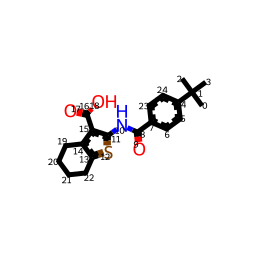 CC(C)(C)c1ccc(C(=O)Nc2sc3c(c2C(=O)O)CCCC3)cc1